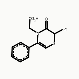 CC(C)C1SC=C(c2ccccc2)N(CC(=O)O)C1=O